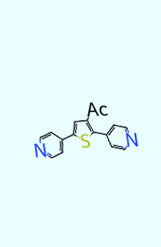 CC(=O)c1cc(-c2ccncc2)sc1-c1ccncc1